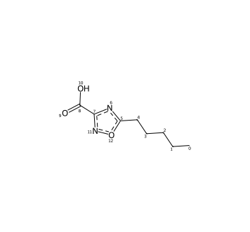 CCCCCc1nc(C(=O)O)no1